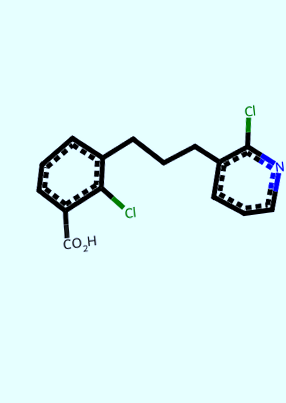 O=C(O)c1cccc(CCCc2cccnc2Cl)c1Cl